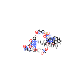 CN[C@H](C(=O)NC(C(=O)N(C)[C@H](/C=C(\C)C(=O)NS(=O)(=O)Cc1ccc(C2(NC(=O)OCc3ccc(NC(=O)[C@@H](CCCNC(N)=O)NC(=O)C(NC(=O)CCCCCN4C(=O)C=CC4=O)C(C)C)cc3)CC2)cc1)C(C)C)C(C)(C)C)C(C)(C)c1ccccc1